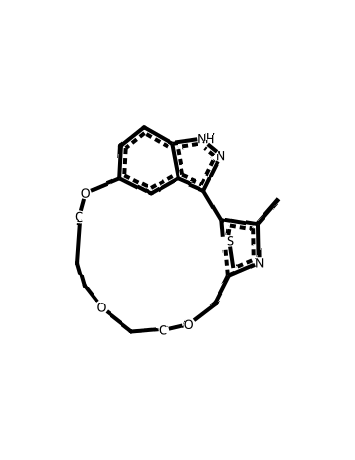 Cc1nc2sc1-c1n[nH]c3ccc(cc13)OCCCOCCOC2